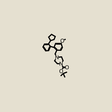 COc1ccc(CN2CCN(C(=O)OC(C)(C)C)CC2)c(-c2ccccc2C2CCCC2)c1